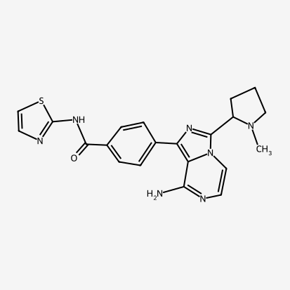 CN1CCCC1c1nc(-c2ccc(C(=O)Nc3nccs3)cc2)c2c(N)nccn12